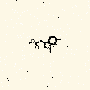 COC(=O)Cc1cn(C)c2cc(C)ccc12